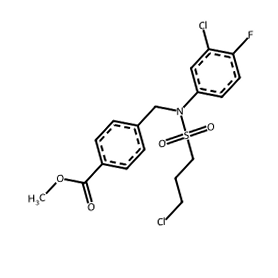 COC(=O)c1ccc(CN(c2ccc(F)c(Cl)c2)S(=O)(=O)CCCCl)cc1